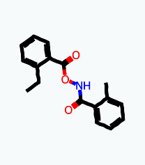 CCc1ccccc1C(=O)ONC(=O)c1ccccc1C